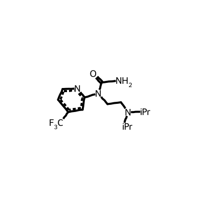 CC(C)N(CCN(C(N)=O)c1cc(C(F)(F)F)ccn1)C(C)C